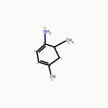 CC1CC(C#N)=CC=C1N